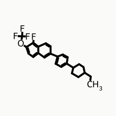 CCC1CCC(c2ccc(-c3ccc4c(F)c(OC(F)(F)F)ccc4c3)cc2)CC1